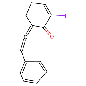 O=C1C(=C=Cc2ccccc2)CCC=C1I